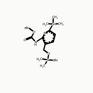 CC(C)(C)OC(=O)Nc1n[c]([Sn]([CH3])([CH3])[CH3])ccc1CO[Si](C)(C)C(C)(C)C